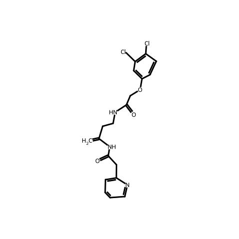 C=C(CCNC(=O)COc1ccc(Cl)c(Cl)c1)NC(=O)Cc1ccccn1